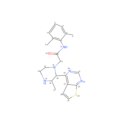 Cc1cccc(C)c1NC(=O)CN1CCNC(C)C1c1ncnc2sccc12